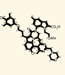 COCCn1c(C(=O)O)cc2cc(C)cc(N3CC(C)n4c(c(CCCOc5cc(C)c(Cl)c(C)c5)c5ccc(Cl)c(-c6c(C)nc(CN7CCOCC7)nc6C)c54)C3=O)c21